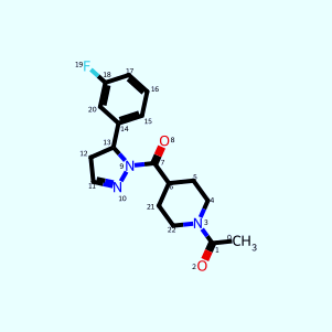 CC(=O)N1CCC(C(=O)N2N=CCC2c2cccc(F)c2)CC1